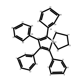 c1ccc(C2=C(c3ccccc3)[Si]3(CCCC3)C(c3ccccc3)=C2c2ccccc2)cc1